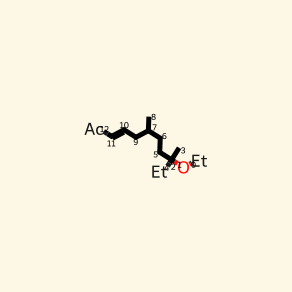 CCOC(C)(CC)CCC(C)CC=CC(C)=O